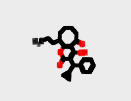 CCCC1CCCCC(=O)c2c1oc(=O)c(C(c1ccccc1)C1CC1)c2O